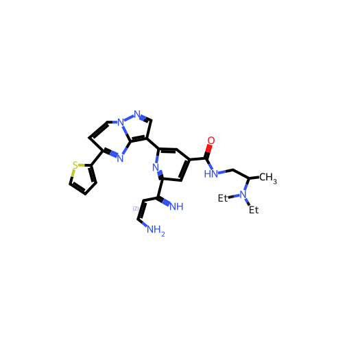 CCN(CC)C(C)CNC(=O)c1cc(C(=N)/C=C\N)nc(-c2cnn3ccc(-c4cccs4)nc23)c1